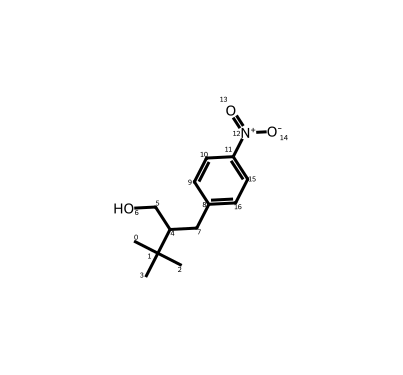 CC(C)(C)C(CO)Cc1ccc([N+](=O)[O-])cc1